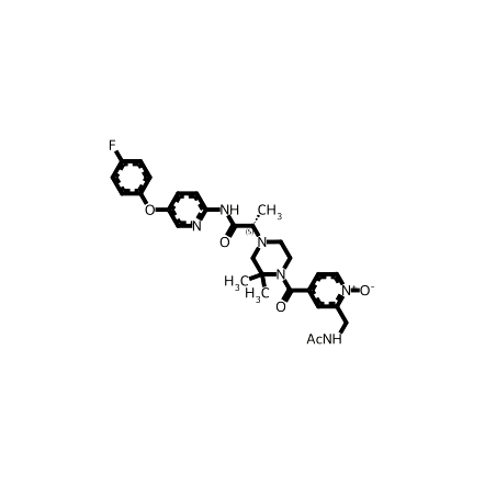 CC(=O)NCc1cc(C(=O)N2CCN([C@@H](C)C(=O)Nc3ccc(Oc4ccc(F)cc4)cn3)CC2(C)C)cc[n+]1[O-]